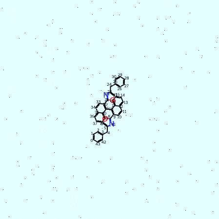 c1ccc(Cc2coc(-c3ccc4ccccc4c3-c3c(-c4nc(Cc5ccccc5)co4)ccc4ccccc34)n2)cc1